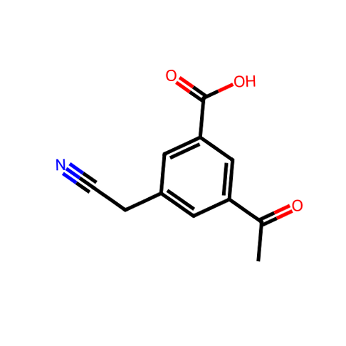 CC(=O)c1cc(CC#N)cc(C(=O)O)c1